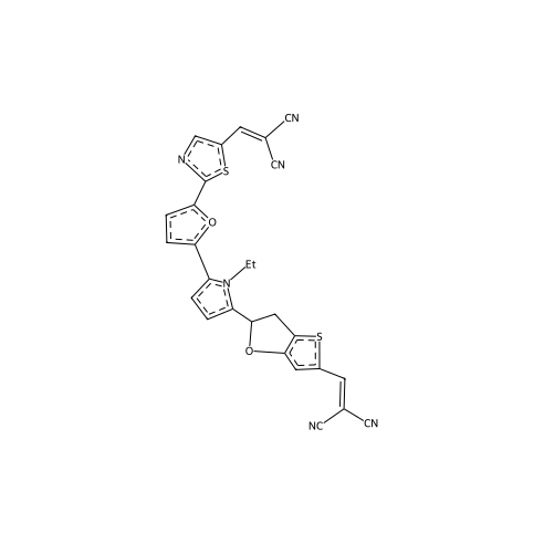 CCn1c(-c2ccc(-c3ncc(C=C(C#N)C#N)s3)o2)ccc1C1Cc2sc(C=C(C#N)C#N)cc2O1